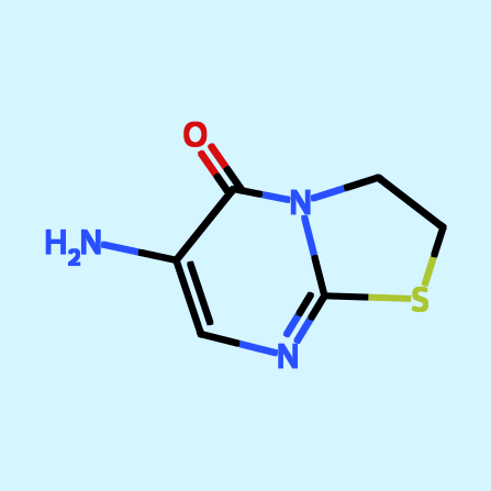 Nc1cnc2n(c1=O)CCS2